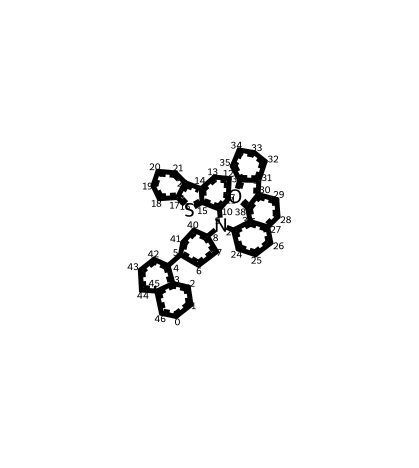 c1ccc2c(-c3ccc(N(c4cccc5c4sc4ccccc45)c4cccc5ccc6c7ccccc7oc6c45)cc3)cccc2c1